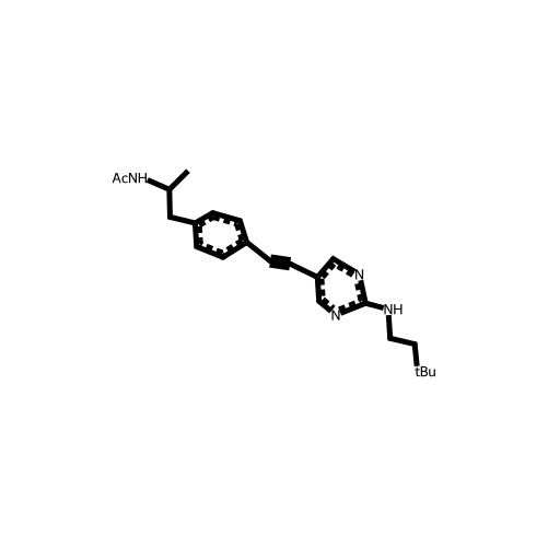 CC(=O)NC(C)Cc1ccc(C#Cc2cnc(NCCC(C)(C)C)nc2)cc1